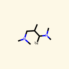 [2H]C(C(C)CN(C)C)N(C)C